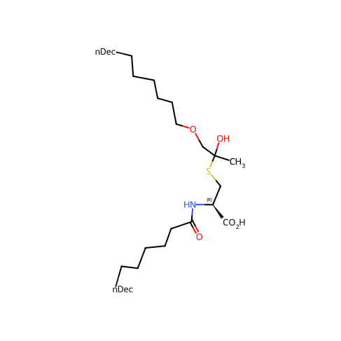 CCCCCCCCCCCCCCCCOCC(C)(O)SC[C@H](NC(=O)CCCCCCCCCCCCCCC)C(=O)O